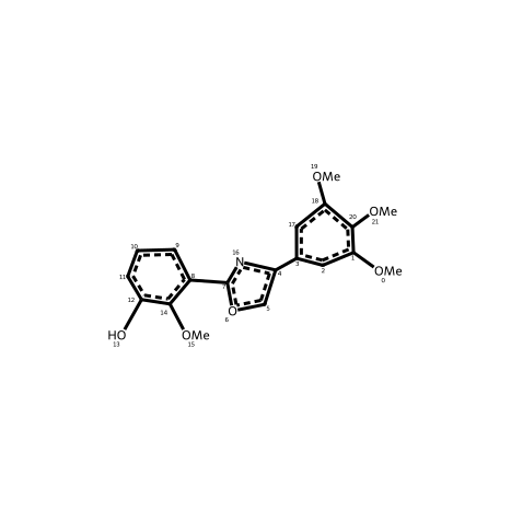 COc1cc(-c2coc(-c3cccc(O)c3OC)n2)cc(OC)c1OC